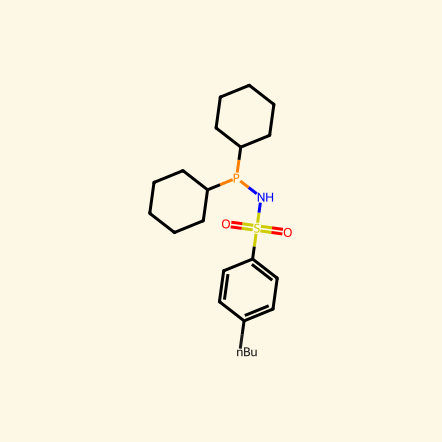 CCCCc1ccc(S(=O)(=O)NP(C2CCCCC2)C2CCCCC2)cc1